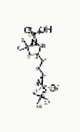 CC1(C)C[C@H](CC/C=N/[S+]([O-])C(C)(C)C)CN1C(=O)O